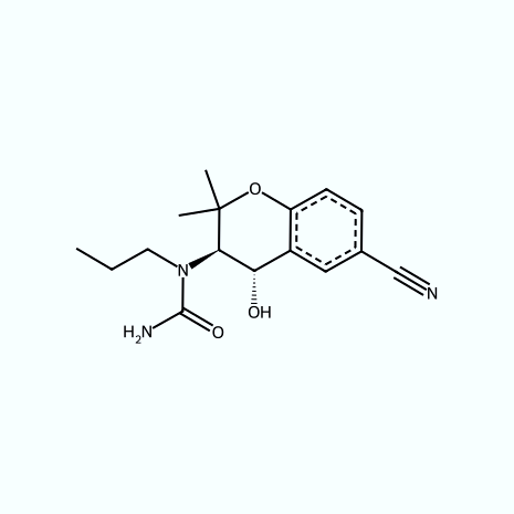 CCCN(C(N)=O)[C@@H]1[C@@H](O)c2cc(C#N)ccc2OC1(C)C